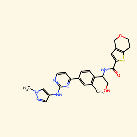 Cc1cc(-c2ccnc(Nc3cnn(C)c3)n2)ccc1C(CO)NC(=O)c1cc2c(s1)CCOC2